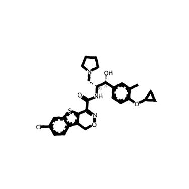 Cc1cc([C@@H](O)[C@@H](CN2CCCC2)NC(=O)C2=NOCc3c2sc2cc(Cl)ccc32)ccc1OC1CC1